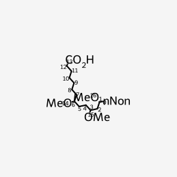 CCCCCCCCCC(CC(CCC(CCCCCCC(=O)O)OC)OC)OC